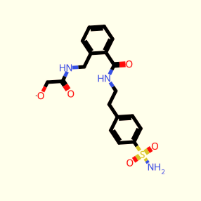 NS(=O)(=O)c1ccc(CCNC(=O)c2ccccc2CNC(=O)C[O])cc1